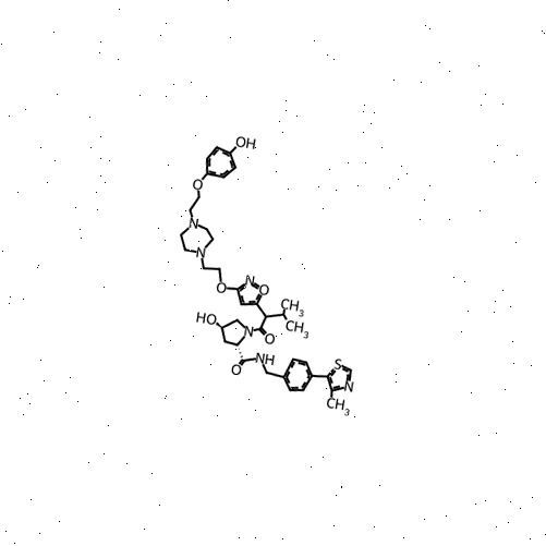 Cc1ncsc1-c1ccc(CNC(=O)[C@@H]2C[C@@H](O)CN2C(=O)C(c2cc(OCCN3CCN(CCOc4ccc(O)cc4)CC3)no2)C(C)C)cc1